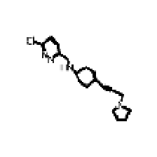 Clc1ccc(CNC2CCC(C#CCN3CCCC3)CC2)nn1